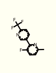 Cc1ccc(F)c(-c2ccc(C(F)(F)F)nc2)n1